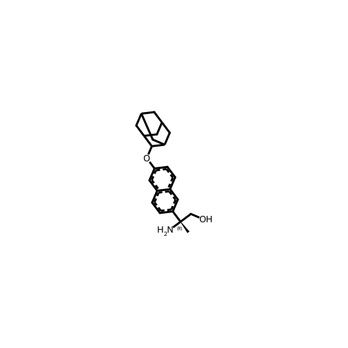 C[C@](N)(CO)c1ccc2cc(OC3C4CC5CC(C4)CC3C5)ccc2c1